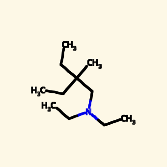 CCN(CC)CC(C)(CC)CC